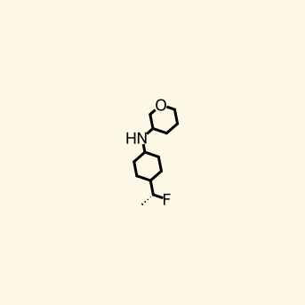 C[C@@H](F)C1CCC(NC2CCCOC2)CC1